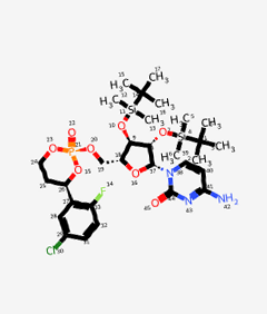 CC(C)(C)[Si](C)(C)O[C@H]1[C@H](O[Si](C)(C)C(C)(C)C)[C@@H](CO[P@]2(=O)OCC[C@H](c3cc(Cl)ccc3F)O2)O[C@H]1n1ccc(N)nc1=O